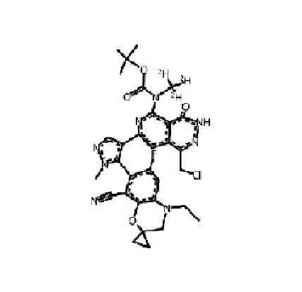 [2H]C([2H])([2H])N(C(=O)OC(C)(C)C)c1nc(-c2cnn(C)c2-c2c(F)cc3c(c2C#N)OC2(CC2)CN3CC)cc2c(CCl)n[nH]c(=O)c12